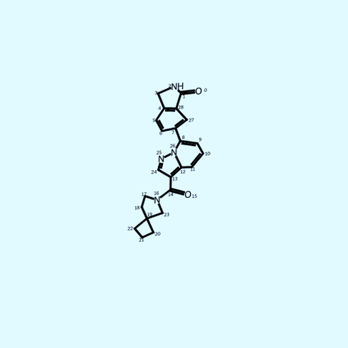 O=C1NCc2ccc(-c3cccc4c(C(=O)N5CCC6(CCC6)C5)cnn34)cc21